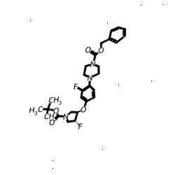 CC(C)(C)OC(=O)N1C[C@@H](F)[C@H](Oc2ccc(N3CCN(C(=O)OCc4ccccc4)CC3)c(F)c2)C1